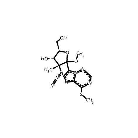 COC1(c2cnc3c(SC)ncnn23)O[C@H](CO)[C@@H](O)[C@@]1(C)N=[N+]=[N-]